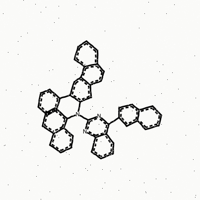 c1ccc(-c2cc3c(ccc4ccccc43)cc2N(c2nc(-c3ccc4ccccc4c3)c3ccccc3n2)c2cccc3ccccc23)cc1